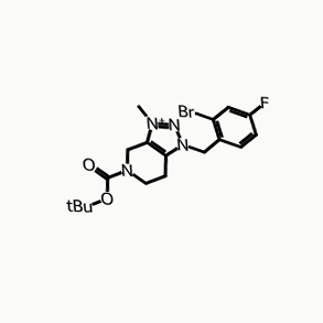 C[n+]1nn(Cc2ccc(F)cc2Br)c2c1CN(C(=O)OC(C)(C)C)CC2